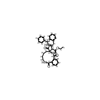 CCOC(=O)C([C@H](Cc1ccccc1)NC(=O)c1ccccc1)C1(C(=O)O)CCCCNC(=O)c2ccccc2C(=O)N1